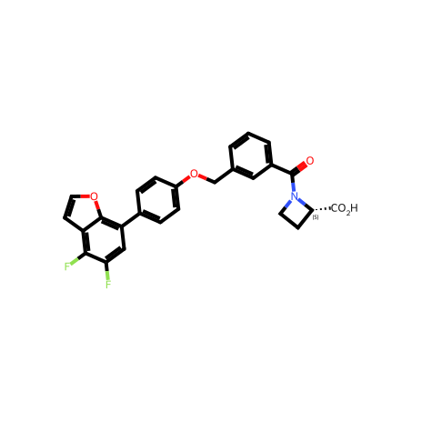 O=C(O)[C@@H]1CCN1C(=O)c1cccc(COc2ccc(-c3cc(F)c(F)c4ccoc34)cc2)c1